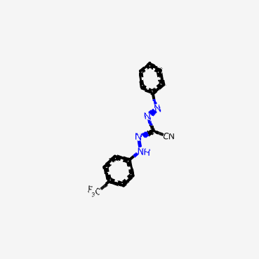 N#CC(/N=N/c1ccccc1)=N\Nc1ccc(C(F)(F)F)cc1